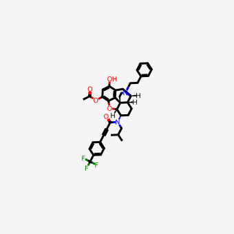 CC(=O)Oc1cc(O)c2c3c1O[C@H]1[C@H](N(CC(C)C)C(=O)C#Cc4ccc(C(F)(F)F)cc4)CC[C@H]4[C@@H](C2)N(CCc2ccccc2)CC[C@@]341